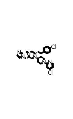 CN1C[C@H](CCc2ccc(Cl)cc2)N(C2CCN(c3cc(Cl)ccn3)CC2)C[C@@H]1Cn1ccnc1